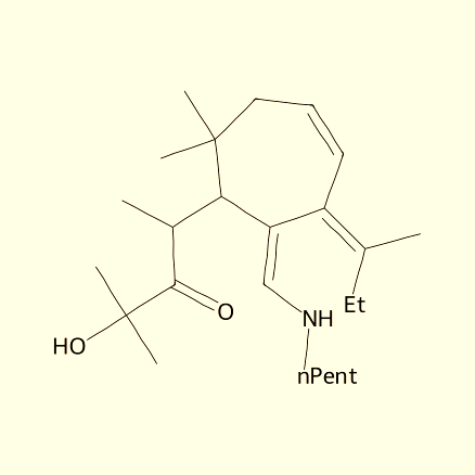 CCCCCN/C=C1\C(=C(\C)CC)C=CCC(C)(C)C1C(C)C(=O)C(C)(C)O